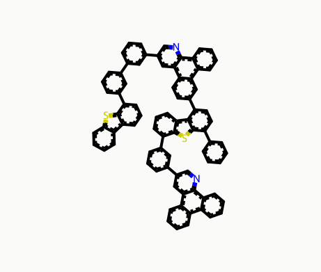 c1ccc(-c2ccc(-c3ccc4c(c3)c3ccccc3c3ncc(-c5cccc(-c6cccc(-c7cccc8c7sc7ccccc78)c6)c5)cc43)c3c2sc2c(-c4cccc(-c5cnc6c7ccccc7c7ccccc7c6c5)c4)cccc23)cc1